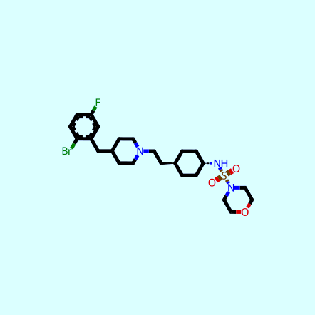 O=S(=O)(N[C@H]1CC[C@H](CCN2CCC(Cc3cc(F)ccc3Br)CC2)CC1)N1CCOCC1